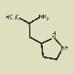 NC(CC1CCNN1)C(=O)O